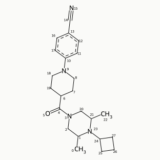 CC1CN(C(=O)C2CCN(c3ccc(C#N)cc3)CC2)CC(C)N1C1CCC1